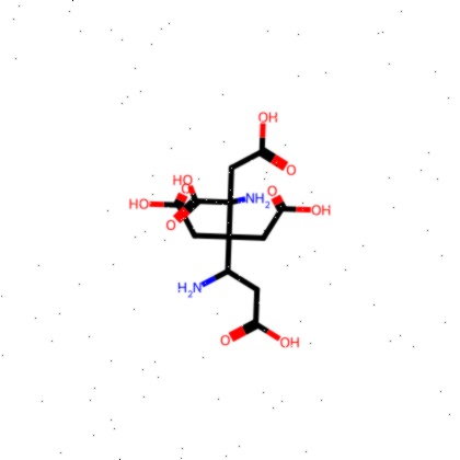 NC(CC(=O)O)C(CC(=O)O)(CC(=O)O)C(N)(CC(=O)O)C(=O)O